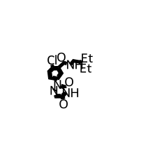 CCC(CC)CNC(=O)c1cc(-n2ncc(=O)[nH]c2=O)ccc1Cl